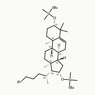 CC(C)CCC[C@@H](C)[C@H]1[C@@H](O[Si](C)(C)C(C)(C)C)C[C@H]2[C@@H]3CC=C4C(C)(C)[C@@H](O[Si](C)(C)C(C)(C)C)CC[C@]4(C)[C@H]3CC[C@]12C